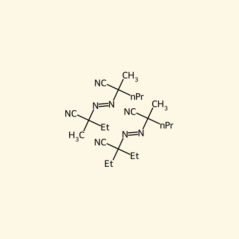 CCCC(C)(C#N)N=NC(C#N)(CC)CC.CCCC(C)(C#N)N=NC(C)(C#N)CC